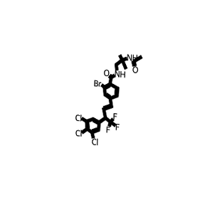 CC(=O)NC(C)(C)CNC(=O)c1ccc(/C=C/C(c2cc(Cl)c(Cl)c(Cl)c2)C(F)(F)F)cc1Br